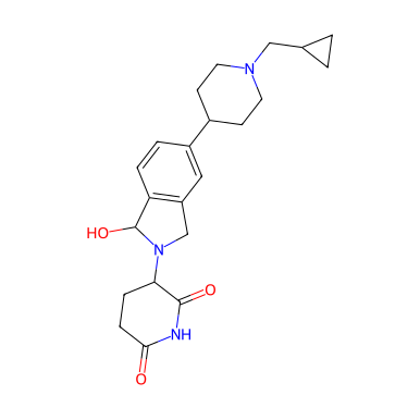 O=C1CCC(N2Cc3cc(C4CCN(CC5CC5)CC4)ccc3C2O)C(=O)N1